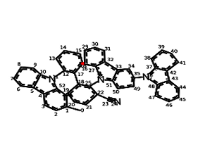 Cc1ccc2c3ccccc3n(-c3ccccc3-c3cccc(C#N)c3-n3c4ccccc4c4cc(-n5c6ccccc6c6ccccc65)ccc43)c2c1